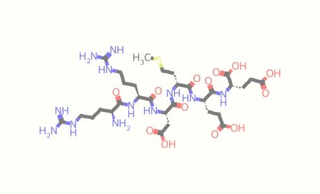 CSCC[C@@H](NC(=O)[C@H](CC(=O)O)NC(=O)[C@H](CCCNC(=N)N)NC(=O)[C@@H](N)CCCNC(=N)N)C(=O)N[C@@H](CCC(=O)O)C(=O)N[C@@H](CCC(=O)O)C(=O)O